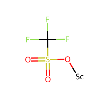 O=S(=O)([O][Sc])C(F)(F)F